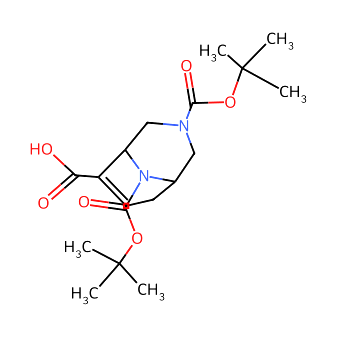 CC(C)(C)OC(=O)N1CC2CC=C(C(=O)O)C(C1)N2C(=O)OC(C)(C)C